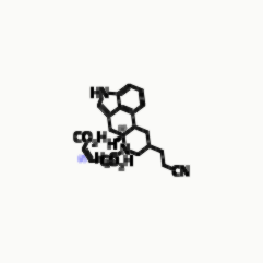 CN1CC(CCC#N)CC2c3cccc4[nH]cc(c34)C[C@H]21.O=C(O)/C=C\C(=O)O